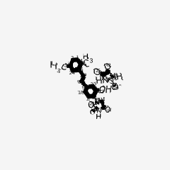 Cc1ccc(C)c(CCc2ccc(N3CC(=O)NS3(=O)=O)c(O)c2)c1.O=c1[nH][s+]([O-])[nH]c1=O